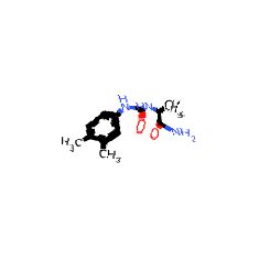 Cc1ccc(NC(=O)NC(C)C(N)=O)cc1C